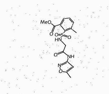 COC(=O)c1cccc(C)c1S(=O)(=O)NCC(=O)Nc1cc(C)on1